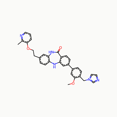 COc1cc(-c2ccc3c(c2)Nc2ccc(CCOc4cccnc4C)cc2NC3=O)ccc1Cn1ccnc1